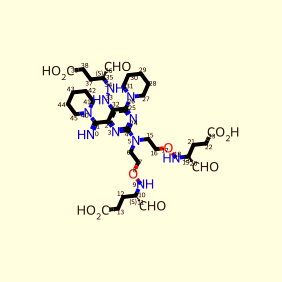 N=C(c1nc(N(CCON[C@H](C=O)CCC(=O)O)CCON[C@H](C=O)CCC(=O)O)nc(N2CCCCC2)c1NN[C@H](C=O)CCC(=O)O)N1CCCCC1